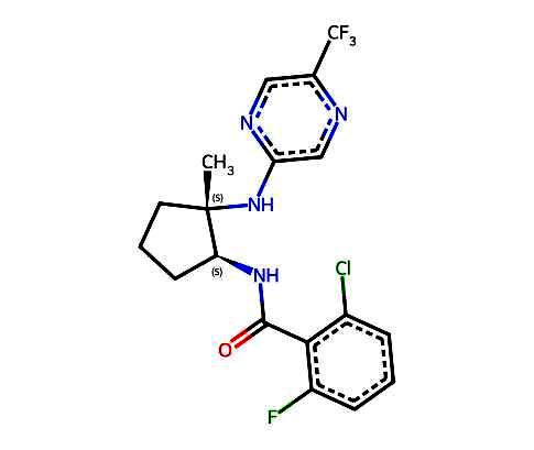 C[C@]1(Nc2cnc(C(F)(F)F)cn2)CCC[C@@H]1NC(=O)c1c(F)cccc1Cl